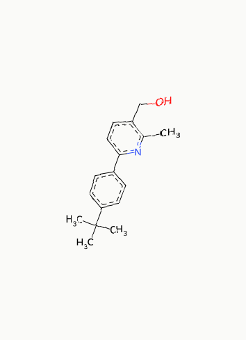 Cc1nc(-c2ccc(C(C)(C)C)cc2)ccc1CO